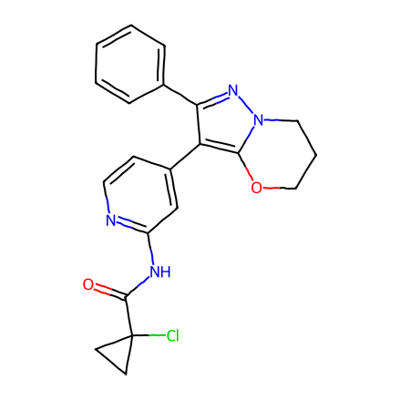 O=C(Nc1cc(-c2c(-c3ccccc3)nn3c2OCCC3)ccn1)C1(Cl)CC1